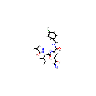 CCC(C)[C@H](NC(=O)C(C)C)C(=O)N[C@@H](CCC(O)C=N)C(=O)NCc1ccc(F)cc1